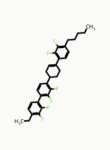 CCCCCc1ccc(C2=CCC(c3ccc(-c4ccc(CC)c(F)c4F)c(F)c3F)CC2)c(F)c1F